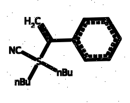 C=C(c1ccccc1)S(C#N)(CCCC)CCCC